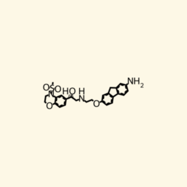 CS(=O)(=O)N1CCOc2ccc([C@@H](O)CNCCOc3ccc4c(c3)Cc3cc(N)ccc3-4)cc21